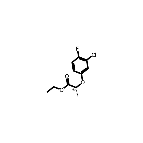 CCOC(=O)[C@@H](C)Oc1ccc(F)c(Cl)c1